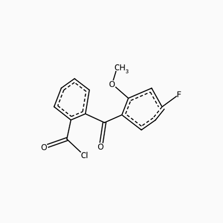 COc1cc(F)ccc1C(=O)c1ccccc1C(=O)Cl